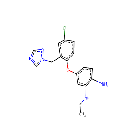 CCNc1cc(Oc2ccc(Cl)cc2Cn2cncn2)ccc1N